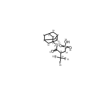 O=C(OC12CC3CC(CC(C3)C1)C2)C(CS(=O)(=O)O)C(F)(F)F